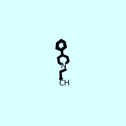 C#CCCN1CCC(c2ccccc2)CC1